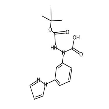 CC(C)(C)OC(=O)NN(C(=O)O)c1cccc(-n2cccn2)c1